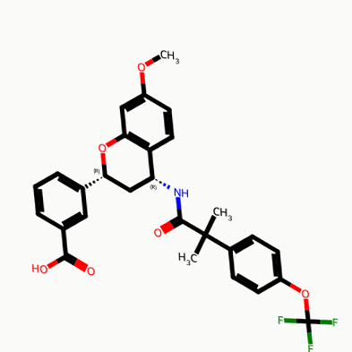 COc1ccc2c(c1)O[C@@H](c1cccc(C(=O)O)c1)C[C@H]2NC(=O)C(C)(C)c1ccc(OC(F)(F)F)cc1